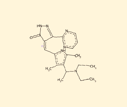 CCN(CC)C(C)c1c(C)[nH]c(/C=C2/C(=O)NN=C2c2ncccn2)c1C